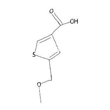 COCc1cc(C(=O)O)cs1